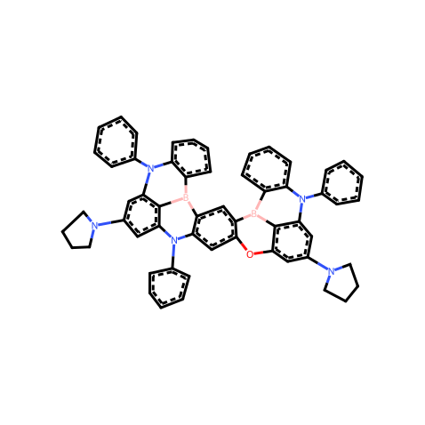 c1ccc(N2c3ccccc3B3c4cc5c(cc4Oc4cc(N6CCCC6)cc2c43)N(c2ccccc2)c2cc(N3CCCC3)cc3c2B5c2ccccc2N3c2ccccc2)cc1